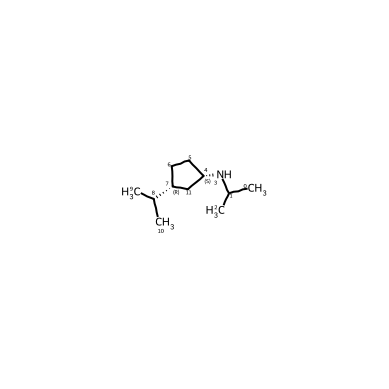 CC(C)N[C@H]1CC[C@@H](C(C)C)C1